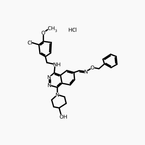 COc1ccc(CNc2nnc(N3CCC(O)CC3)c3ccc(C=NOCc4ccccc4)cc23)cc1Cl.Cl